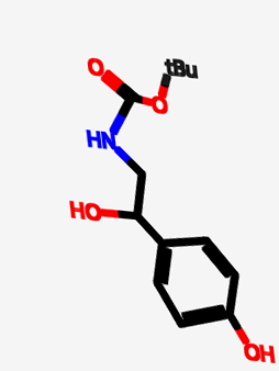 CC(C)(C)OC(=O)NCC(O)c1ccc(O)cc1